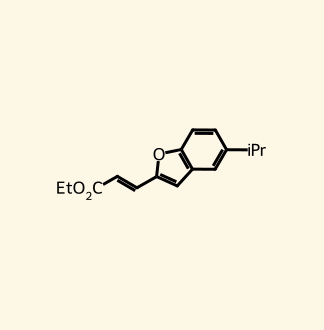 CCOC(=O)C=Cc1cc2cc(C(C)C)ccc2o1